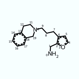 NCc1occc1CCCN1CCc2ccccc2C1